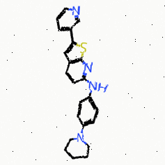 c1cncc(-c2cc3ccc(Nc4ccc(N5CCCCC5)cc4)nc3s2)c1